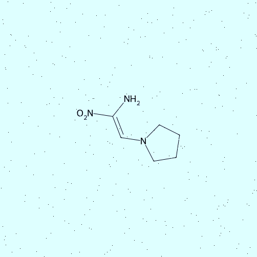 NC(=CN1CCCC1)[N+](=O)[O-]